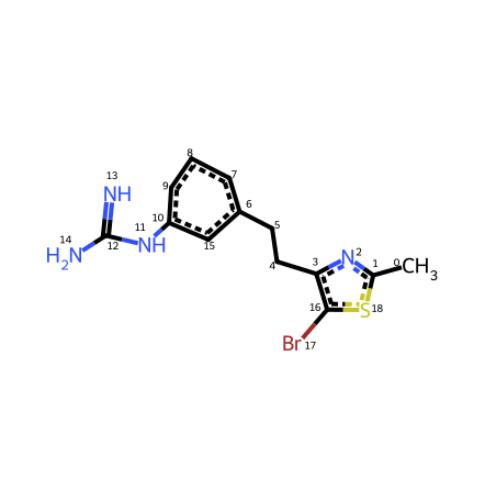 Cc1nc(CCc2cccc(NC(=N)N)c2)c(Br)s1